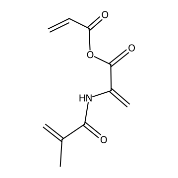 C=CC(=O)OC(=O)C(=C)NC(=O)C(=C)C